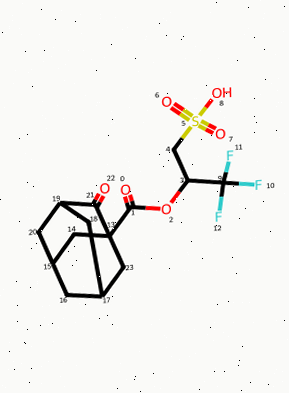 O=C(OC(CS(=O)(=O)O)C(F)(F)F)C12CC3CC(CC(C3)C1=O)C2